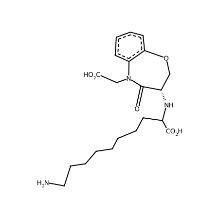 NCCCCCCCCC(N[C@H]1COc2ccccc2N(CC(=O)O)C1=O)C(=O)O